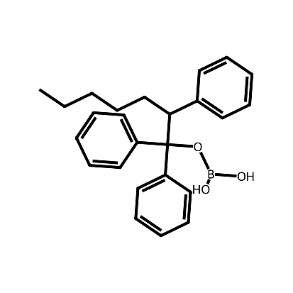 CCCCCC(c1ccccc1)C(OB(O)O)(c1ccccc1)c1ccccc1